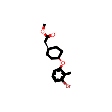 COC(=O)C[C@H]1CC[C@@H](Oc2cccc(Br)c2C)CC1